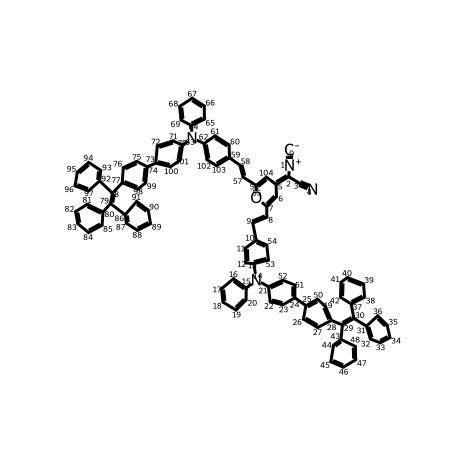 [C-]#[N+]C(C#N)=C1C=C(/C=C/c2ccc(N(c3ccccc3)c3ccc(-c4ccc(C(=C(c5ccccc5)c5ccccc5)c5ccccc5)cc4)cc3)cc2)OC(/C=C/c2ccc(N(c3ccccc3)c3ccc(-c4ccc(C(=C(c5ccccc5)c5ccccc5)c5ccccc5)cc4)cc3)cc2)=C1